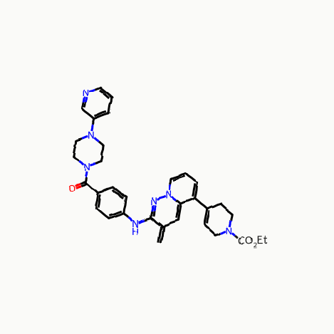 C=C1C=C2C(C3=CCN(C(=O)OCC)CC3)=CC=CN2N=C1Nc1ccc(C(=O)N2CCN(c3cccnc3)CC2)cc1